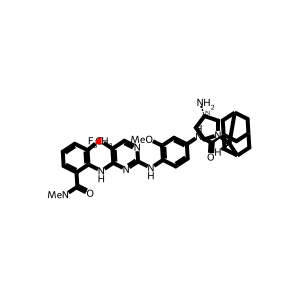 CNC(=O)c1cccc(C)c1Nc1nc(Nc2ccc(NC(=O)[C@]34CC5CC(C3)[C@@H](N3CC[C@H](N)C3)C(C5)C4)cc2OC)ncc1C(F)(F)F